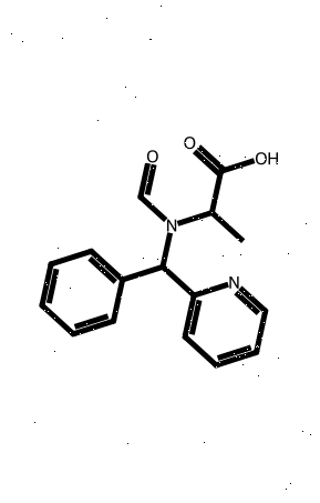 CC(C(=O)O)N(C=O)C(c1ccccc1)c1ccccn1